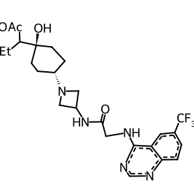 CCC(OC(C)=O)[C@]1(O)CC[C@H](N2CC(NC(=O)CNc3ncnc4ccc(C(F)(F)F)cc34)C2)CC1